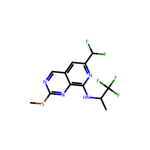 CSc1ncc2cc(C(F)F)nc(NC(C)C(F)(F)F)c2n1